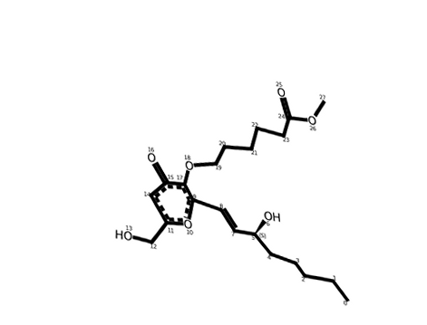 CCCCC[C@H](O)C=Cc1oc(CO)cc(=O)c1OCCCCCC(=O)OC